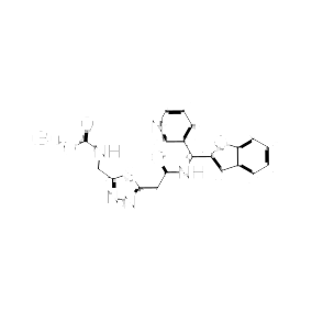 CC(C)(C)OC(=O)NCc1nnc(CC(=O)NC(c2cccnc2)c2cc3ccccc3o2)s1